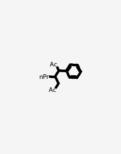 CCCC(CC(C)=O)C(C(C)=O)c1ccccc1